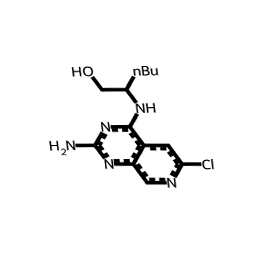 CCCCC(CO)Nc1nc(N)nc2cnc(Cl)cc12